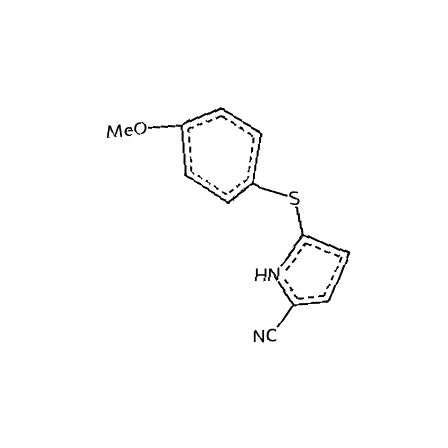 COc1ccc(Sc2ccc(C#N)[nH]2)cc1